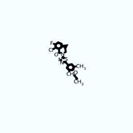 C=CCOc1c(C)cc(-c2nnc(N(CC3CC3)C(=O)c3cccc(F)c3Cl)s2)cc1C